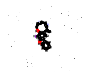 C=C1/C=C\C=C/COc2c1cc1c(oc3ccccc31)c2I